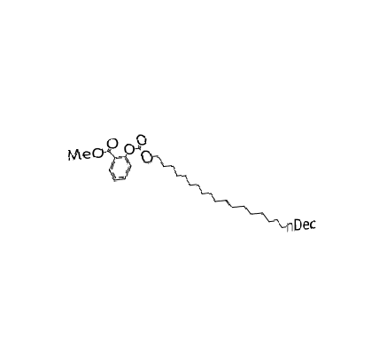 CCCCCCCCCCCCCCCCCCCCCCCCCCCCOC(=O)Oc1ccccc1C(=O)OC